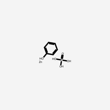 O=P(O)(O)O.Oc1ccccc1.[Zn]